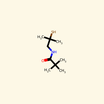 CC(C)(S)CNC(=O)C(C)(C)C